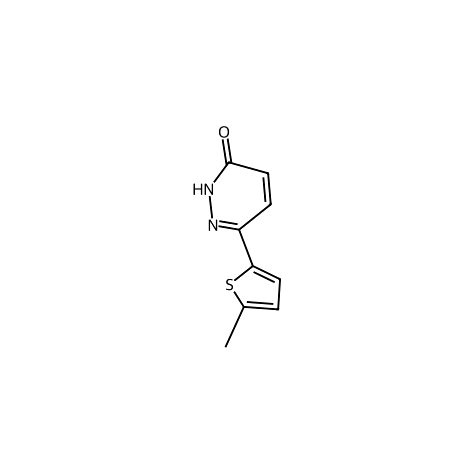 Cc1ccc(-c2ccc(=O)[nH]n2)s1